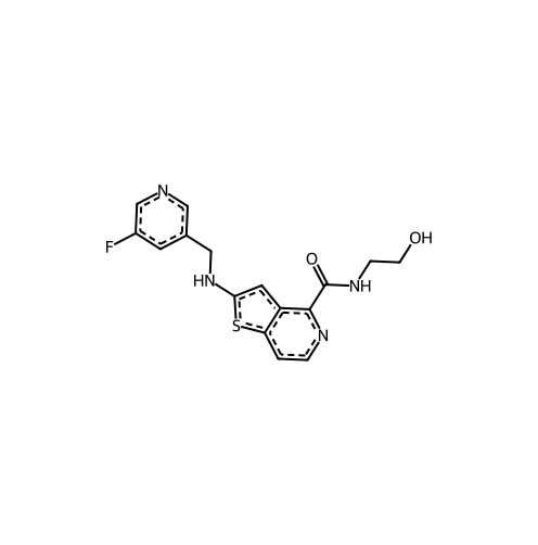 O=C(NCCO)c1nccc2sc(NCc3cncc(F)c3)cc12